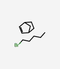 C1=CC2CCC1C2.CCCCCBr